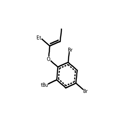 CC=C(CC)Oc1c(Br)cc(Br)cc1C(C)(C)C